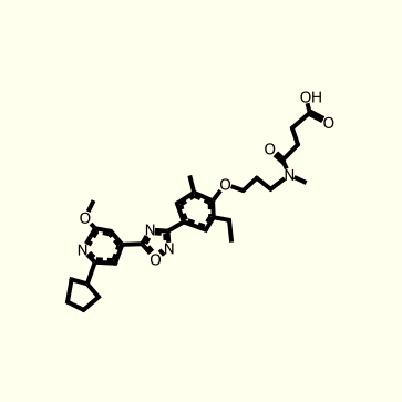 CCc1cc(-c2noc(-c3cc(OC)nc(C4CCCC4)c3)n2)cc(C)c1OCCCN(C)C(=O)CCC(=O)O